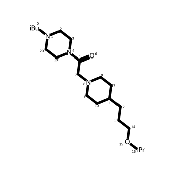 CCC(C)N1CCN(C(=O)CN2CCC(CCCOC(C)C)CC2)CC1